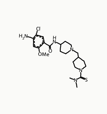 COc1cc(N)c(Cl)cc1C(=O)NC1CCN(CC2CCN(C(=S)N(C)C)CC2)CC1